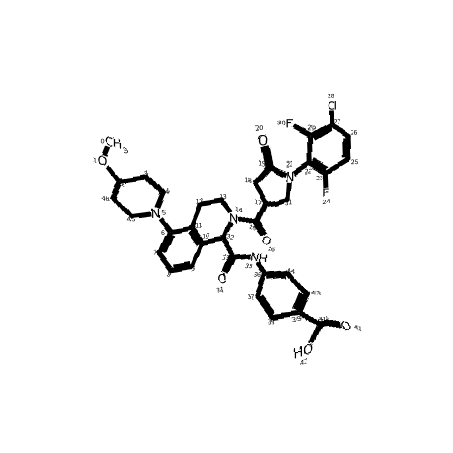 COC1CCN(c2cccc3c2CCN(C(=O)C2CC(=O)N(c4c(F)ccc(Cl)c4F)C2)C3C(=O)Nc2ccc(C(=O)O)cc2)CC1